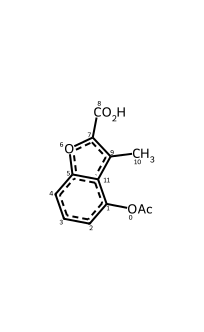 CC(=O)Oc1cccc2oc(C(=O)O)c(C)c12